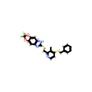 Cc1c(SCc2ccccc2)ccnc1CSc1nc2cc3c(cc2[nH]1)OC(F)(F)O3